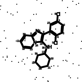 Clc1ccc(Cl)c(-c2nc3ccccn3c2NC2CCCCC2)c1